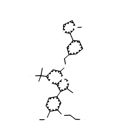 COc1ccc(-c2c(C)nn3c(NCc4cccc(-c5nccn5C)c4)cc(C(C)(C)O)nc23)cc1SCCO